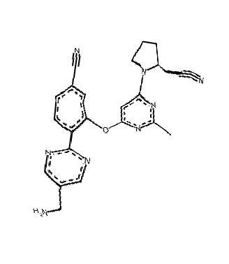 Cc1nc(Oc2cc(C#N)ccc2-c2ncc(CN)cn2)cc(N2CCC[C@H]2C#N)n1